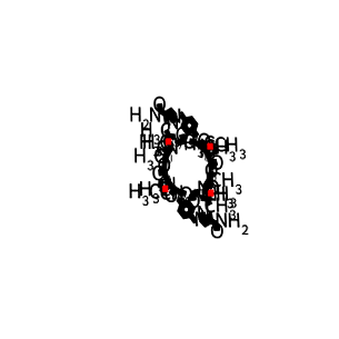 CC(C)C[C@H]1C(=O)O[C@H](Cc2ccc(Cn3cc(C(N)=O)cn3)cc2)C(=O)N(C)[C@@H](CC(C)C)C(=O)O[C@H](C)C(=O)N(C)[C@@H](CC(C)C)C(=O)O[C@H](Cc2ccc(Cn3cc(C(N)=O)cn3)cc2)C(=O)N(C)[C@@H](CC(C)C)C(=O)O[C@H](C)C(=O)N1C